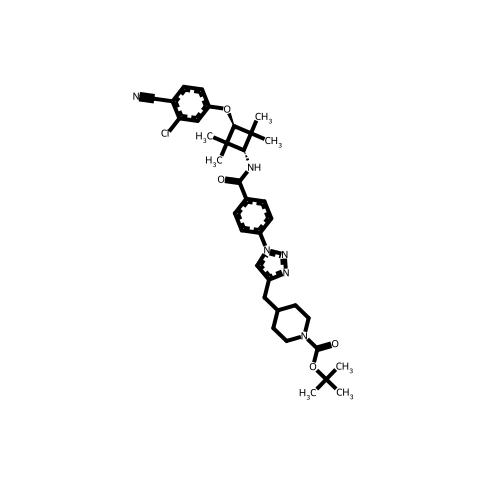 CC(C)(C)OC(=O)N1CCC(Cc2cn(-c3ccc(C(=O)N[C@H]4C(C)(C)[C@H](Oc5ccc(C#N)c(Cl)c5)C4(C)C)cc3)nn2)CC1